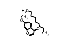 CCCCCCCCC.COc1ccc2c(=O)ccoc2c1